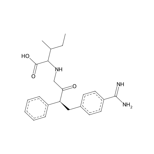 CCC(C)C(NCC(=O)[C@@H](Cc1ccc(C(=N)N)cc1)c1ccccc1)C(=O)O